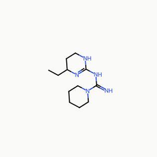 CCC1CCNC(NC(=N)N2CCCCC2)=N1